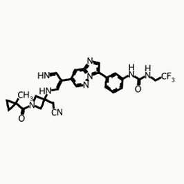 CC1(C(=O)N2CC(CC#N)(N/C=C(\C=N)c3cnn4c(-c5cccc(NC(=O)NCC(F)(F)F)c5)cnc4c3)C2)CC1